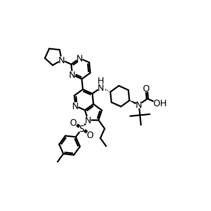 CCCc1cc2c(N[C@H]3CC[C@H](N(C(=O)O)C(C)(C)C)CC3)c(-c3ccnc(N4CCCC4)n3)cnc2n1S(=O)(=O)c1ccc(C)cc1